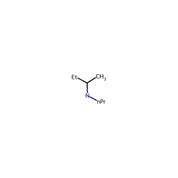 CCC[N]C(C)CC